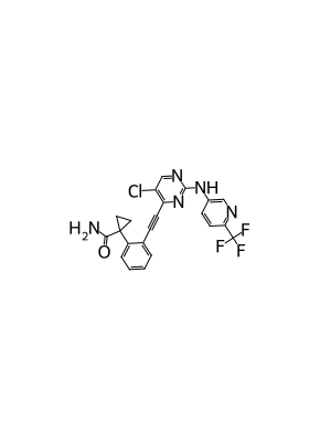 NC(=O)C1(c2ccccc2C#Cc2nc(Nc3ccc(C(F)(F)F)nc3)ncc2Cl)CC1